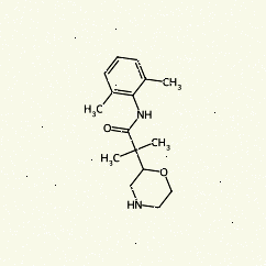 Cc1cccc(C)c1NC(=O)C(C)(C)C1CNCCO1